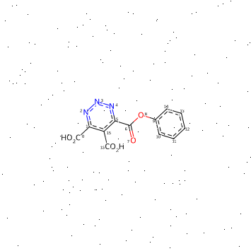 O=C(O)c1nnnc(C(=O)Oc2ccccc2)c1C(=O)O